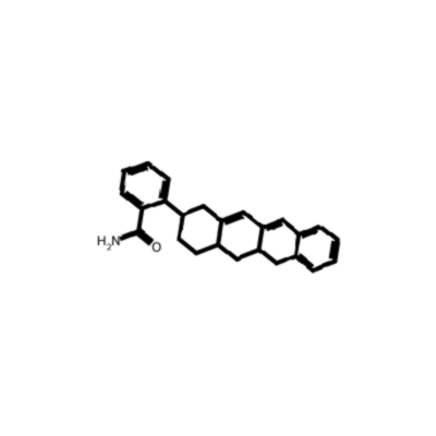 NC(=O)c1ccccc1C1CCC2CC3Cc4ccccc4C=C3C=C2C1